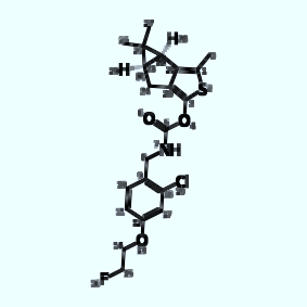 Cc1sc(OC(=O)NCc2ccc(OCCF)cc2Cl)c2c1[C@H]1[C@@H](C2)C1(C)C